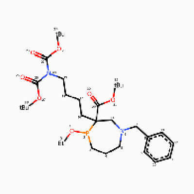 CCOP1CCCN(Cc2ccccc2)CC1(CCCCN(C(=O)OC(C)(C)C)C(=O)OC(C)(C)C)C(=O)OC(C)(C)C